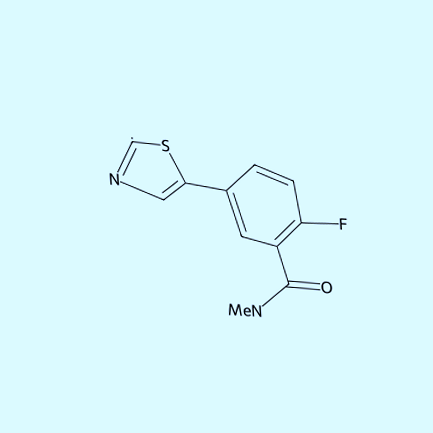 CNC(=O)c1cc(-c2cn[c]s2)ccc1F